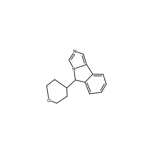 c1ccc2c(c1)-c1cncn1C2C1CCOCC1